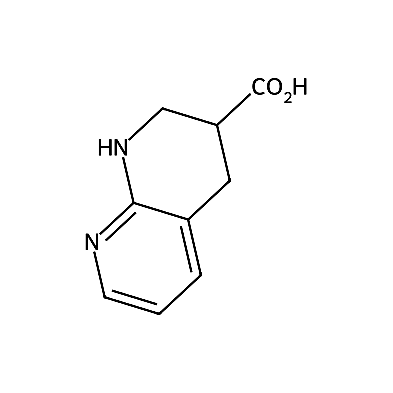 O=C(O)C1CNc2ncccc2C1